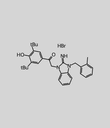 Br.Cc1ccccc1Cn1c(=N)n(CC(=O)c2cc(C(C)(C)C)c(O)c(C(C)(C)C)c2)c2ccccc21